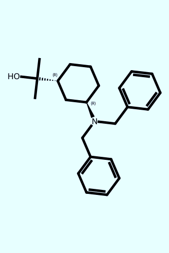 CC(C)(O)[C@@H]1CCC[C@@H](N(Cc2ccccc2)Cc2ccccc2)C1